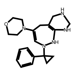 C1=C(N2CCOCC2)CC2=C(NCNC2)NN1C1(c2ccccc2)CC1